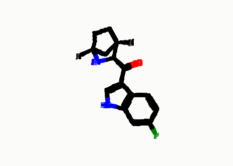 O=C(c1c[nH]c2cc(F)ccc12)[C@H]1N[C@@H]2CC[C@H]1C2